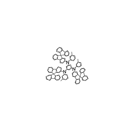 Cc1cccc(N(c2cc(N(c3cccc(C)c3)c3ccc4c(c3)C3(c5ccccc5-c5ccccc53)c3ccccc3-4)cc(N(c3cccc(C)c3)c3ccc4c(c3)C3(c5ccccc5-c5ccccc53)c3ccccc3-4)c2)c2ccc3c(c2)C2(c4ccccc4-c4ccccc42)c2ccccc2-3)c1